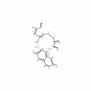 C=C/C(C)=C\C1=C\CCC(=C)C(=C)Sc2c(c(C)cc3ccc(C)cc23)SC1